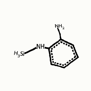 Nc1ccccc1N[SiH3]